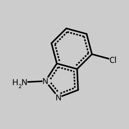 Nn1ncc2c(Cl)cccc21